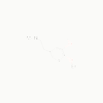 CCOc1ccc(CCNC)cc1OCC